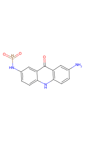 Nc1ccc2[nH]c3ccc(N[SH](=O)=O)cc3c(=O)c2c1